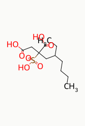 CCCCC(CC)CC(CC(=O)O)(C(=O)O)S(=O)(=O)O